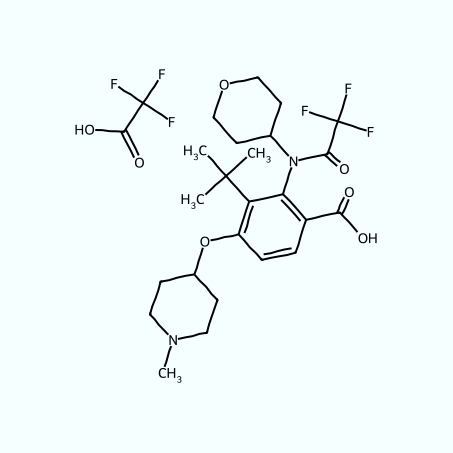 CN1CCC(Oc2ccc(C(=O)O)c(N(C(=O)C(F)(F)F)C3CCOCC3)c2C(C)(C)C)CC1.O=C(O)C(F)(F)F